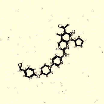 CC(=O)c1c(C)c2cnc(Nc3ccc(N4CCC(Oc5ccc(CCl)cc5)CC4)cn3)nc2n(C2CCCC2)c1=O